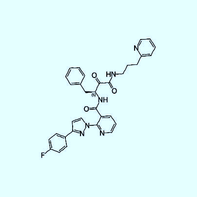 O=C(NCCCc1ccccn1)C(=O)[C@H](Cc1ccccc1)NC(=O)c1cccnc1-n1ccc(-c2ccc(F)cc2)n1